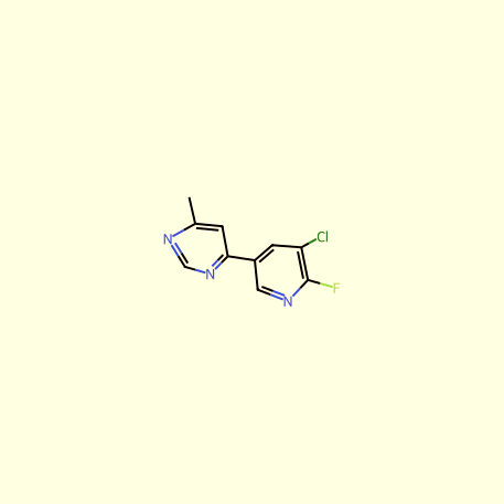 Cc1cc(-c2cnc(F)c(Cl)c2)ncn1